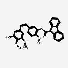 COc1ccc(/C=C\c2cc(C)c(OC)c(OC)c2)cc1OC(=O)C1c2ccccc2-c2ccccc21